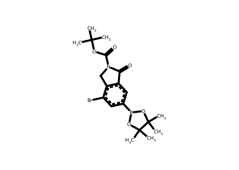 CC(C)(C)OC(=O)N1Cc2c(Br)cc(B3OC(C)(C)C(C)(C)O3)cc2C1=O